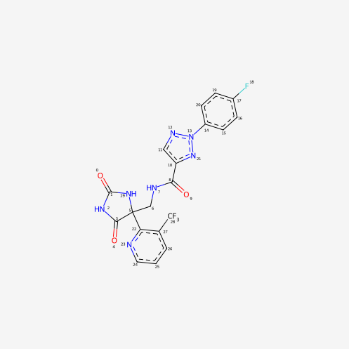 O=C1NC(=O)C(CNC(=O)c2cnn(-c3ccc(F)cc3)n2)(c2ncccc2C(F)(F)F)N1